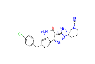 N#CN1CCCC(N/C(N)=C(\C(=N)c2ccc(Cc3ccc(Cl)cc3)cc2)C(N)=O)C1